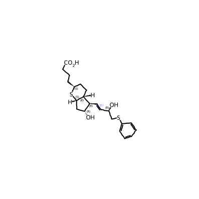 O=C(O)CCC[C@H]1CC[C@@H]2[C@@H](/C=C/[C@@H](O)CSc3ccccc3)[C@H](O)C[C@@H]2S1